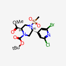 COC(=O)[C@H]1CN(S(C)(=O)=O)[C@H](c2cc(Cl)nc(Br)c2)CN1C(=O)OC(C)(C)C